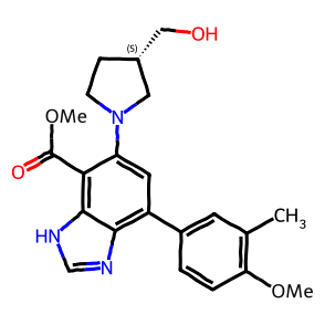 COC(=O)c1c(N2CC[C@H](CO)C2)cc(-c2ccc(OC)c(C)c2)c2nc[nH]c12